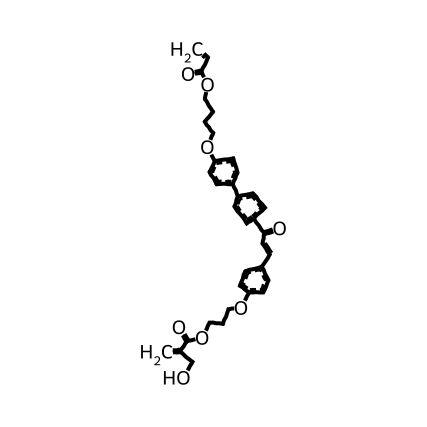 C=CC(=O)OCCCCOc1ccc(-c2ccc(C(=O)/C=C/c3ccc(OCCCOC(=O)C(=C)CO)cc3)cc2)cc1